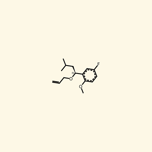 C=CCO[C@@H](CC(C)C)c1cc(F)ccc1OC